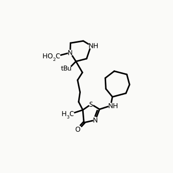 CC1(CCCCC2(C(C)(C)C)CNCCN2C(=O)O)SC(NC2CCCCCC2)=NC1=O